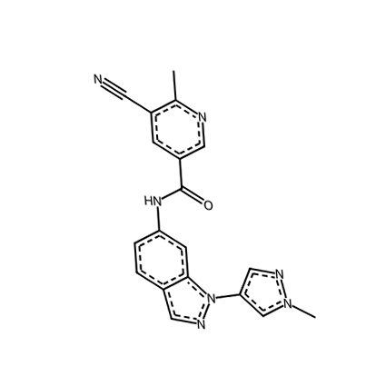 Cc1ncc(C(=O)Nc2ccc3cnn(-c4cnn(C)c4)c3c2)cc1C#N